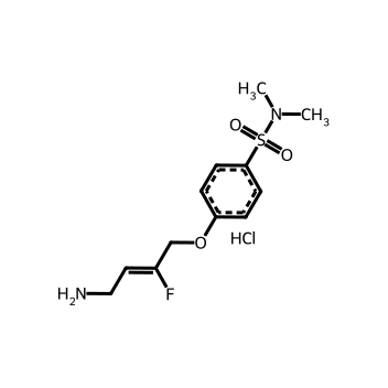 CN(C)S(=O)(=O)c1ccc(OC/C(F)=C/CN)cc1.Cl